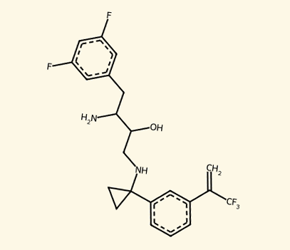 C=C(c1cccc(C2(NCC(O)C(N)Cc3cc(F)cc(F)c3)CC2)c1)C(F)(F)F